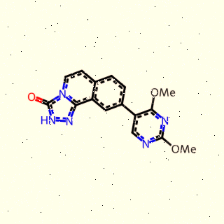 COc1ncc(-c2ccc3ccn4c(=O)[nH]nc4c3c2)c(OC)n1